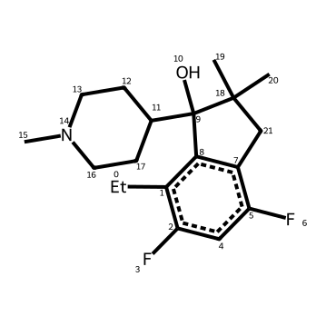 CCc1c(F)cc(F)c2c1C(O)(C1CCN(C)CC1)C(C)(C)C2